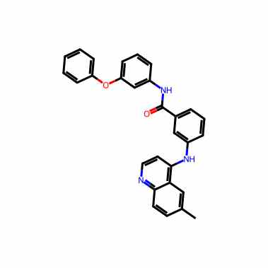 Cc1ccc2nccc(Nc3cccc(C(=O)Nc4cccc(Oc5ccccc5)c4)c3)c2c1